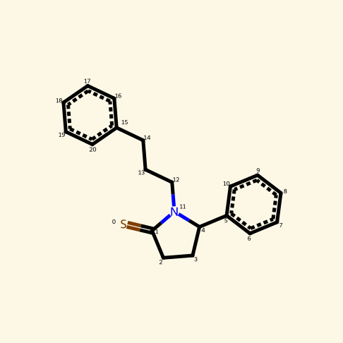 S=C1CCC(c2ccccc2)N1CCCc1ccccc1